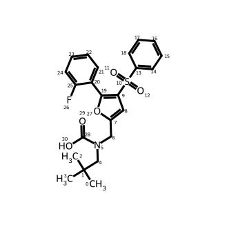 CC(C)(C)CN(Cc1cc(S(=O)(=O)c2ccccc2)c(-c2ccccc2F)o1)C(=O)O